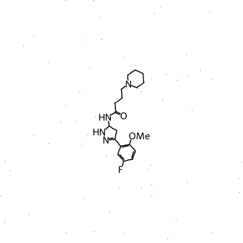 COc1ccc(F)cc1C1=NNC(NC(=O)CCCN2CCCCC2)C1